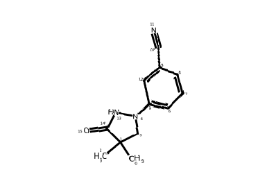 CC1(C)CN(c2cccc(C#N)c2)NC1=O